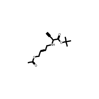 C#CC(NCC=CCOC(C)=O)C(=O)OC(C)(C)C